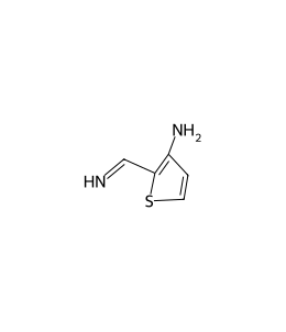 N=Cc1sccc1N